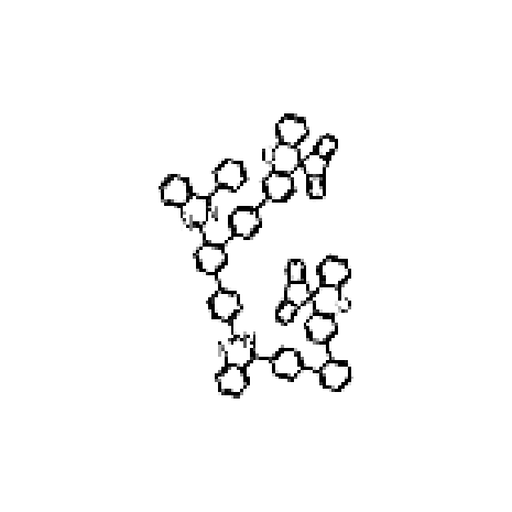 c1ccc(-c2nc(-c3ccc(-c4ccc(-c5nc(-c6ccc(-c7ccccc7-c7ccc8c(c7)Oc7ccccc7C87c8ccccc8-c8ccccc87)cc6)c6ccccc6n5)cc4)cc3-c3ccc(-c4ccc5c(c4)Oc4ccccc4C54c5ccccc5-c5ccccc54)cc3)nc3ccccc23)cc1